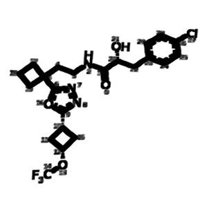 O=C(NCCC1(c2nnc([C@H]3C[C@@H](OC(F)(F)F)C3)o2)CCC1)[C@H](O)Cc1ccc(Cl)cc1